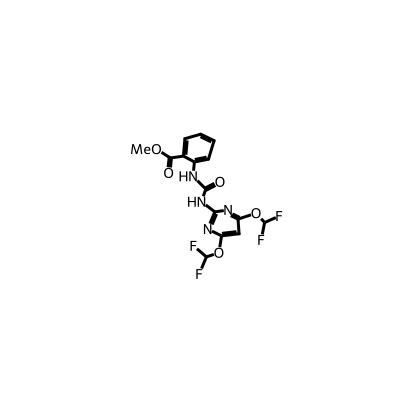 COC(=O)c1ccccc1NC(=O)Nc1nc(OC(F)F)cc(OC(F)F)n1